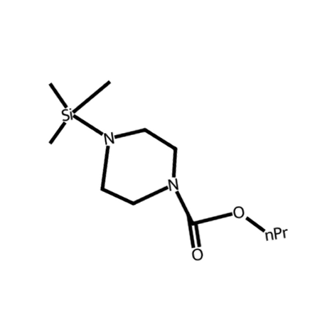 CCCOC(=O)N1CCN([Si](C)(C)C)CC1